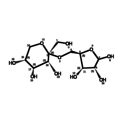 OC[C@@]1(OC[C@H]2OC(O)[C@H](O)[C@@H]2O)OC[C@@H](O)[C@@H](O)[C@H]1O